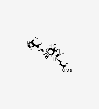 COC(=O)CCNC(=N)[C@@H]1O[P@@](=O)(OCOC(=O)c2scnc2C(C)C)OCC1(C)C